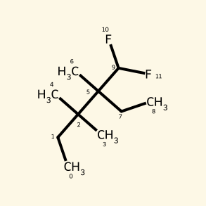 CCC(C)(C)C(C)(CC)C(F)F